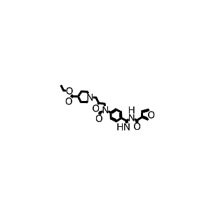 CCOC(=O)C1CCN(CC2CN(c3ccc(C(=N)NC(=O)c4ccoc4)cc3)C(=O)O2)CC1